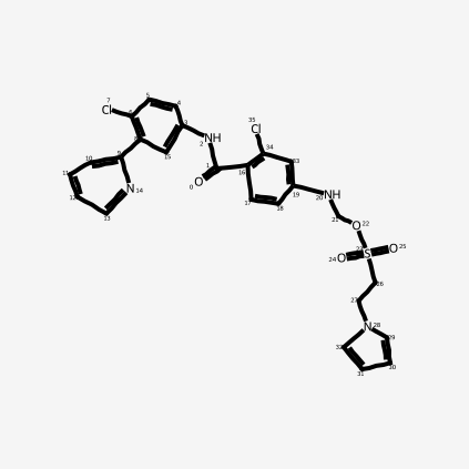 O=C(Nc1ccc(Cl)c(-c2ccccn2)c1)c1ccc(NCOS(=O)(=O)CCn2cccc2)cc1Cl